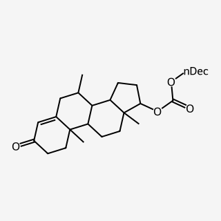 CCCCCCCCCCOC(=O)OC1CCC2C3C(C)CC4=CC(=O)CCC4(C)C3CCC12C